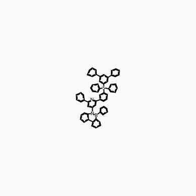 c1ccc(B2c3ccccc3-c3ccccc3N2c2cc(-c3ccccc3)nc(-c3cccc(S(c4ccccc4)(c4ccccc4)c4cc(-c5ccccc5)cc(-c5ccccc5)c4)c3)c2)cc1